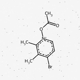 CC(=O)O[n+]1ccc(Br)c(C)c1C